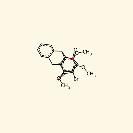 COC1=C(Br)C(=O)C2=C(C1=O)C1c3ccccc3C2c2c(OC)ccc(OC)c21